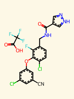 N#Cc1cc(Cl)cc(Oc2c(Cl)ccc(CNC(=O)c3cn[nH]c3)c2F)c1.O=C(O)C(F)(F)F